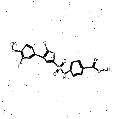 COC(=O)c1ccc(NS(=O)(=O)c2cc(-c3ccc(OC)c(F)c3)c(Cl)s2)cc1